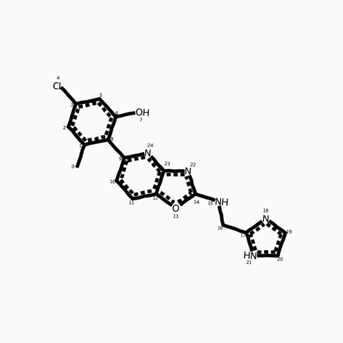 Cc1cc(Cl)cc(O)c1-c1ccc2oc(NCc3ncc[nH]3)nc2n1